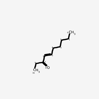 CCCCCC=CC(=O)CC